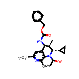 CCOC(=O)c1cc2c(c(OC)n1)N(C(C)O)[C@@H](C1CC1)[C@H](C)C2NC(=O)OCc1ccccc1